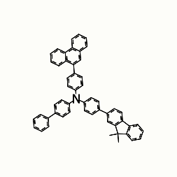 CC1(C)c2ccccc2-c2ccc(-c3ccc(N(c4ccc(-c5ccccc5)cc4)c4ccc(-c5cc6ccccc6c6ccccc56)cc4)cc3)cc21